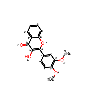 CCCCOc1ccc(-c2oc3ccccc3c(=O)c2O)cc1OCCCC